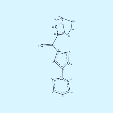 O=C(c1coc(-c2ccccn2)c1)N1CCN2CCC1CC2